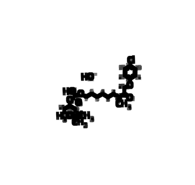 CN(CCCCCCOP(=O)(O)OC(CC(=O)O)C[N+](C)(C)C)C(=O)COc1ccc(Cl)cc1.[OH-]